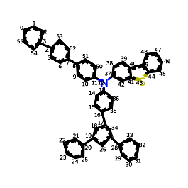 c1ccc(-c2ccc(-c3ccc(N(c4ccc(-c5cc(-c6ccccc6)cc(-c6ccccc6)c5)cc4)c4ccc5c(c4)sc4ccccc45)cc3)cc2)cc1